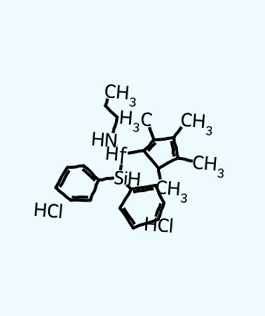 CCC[NH][Hf]([C]1=C(C)C(C)=C(C)C1C)[SiH](c1ccccc1)c1ccccc1.Cl.Cl